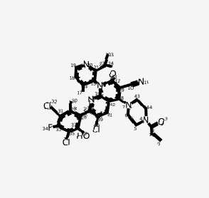 C=CC(=O)N1CCN(c2c(C#N)c(=O)n(-c3c(C)ccnc3C(C)C)c3nc(-c4c(C)c(Cl)c(F)c(Cl)c4O)c(Cl)cc23)CC1